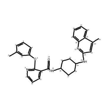 Cc1cccc(Oc2ncccc2C(=O)NC2CCC(Nc3cc(C)c4ccccc4n3)CC2)c1